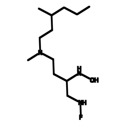 CCCC(C)CCN(C)CCC(CNF)NO